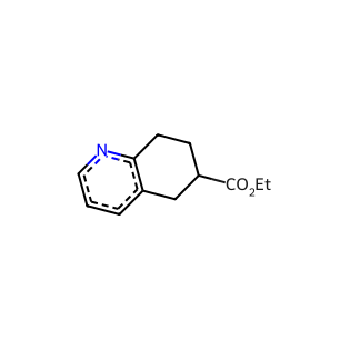 CCOC(=O)C1CCc2ncccc2C1